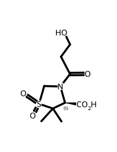 CC1(C)[C@H](C(=O)O)N(C(=O)CCO)CS1(=O)=O